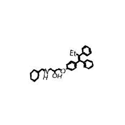 CCC(=C(c1ccccc1)c1ccc(OCC(O)CNCC2CCCCC2)cc1)c1ccccc1